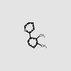 Cc1cccc(-c2ccccn2)c1C